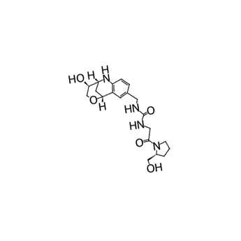 O=C(NCC(=O)N1CCC[C@H]1CO)NCc1ccc2c(c1)[C@H]1C[C@@H](N2)[C@H](O)CO1